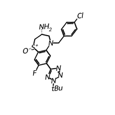 CC(C)(C)n1nnc(-c2cc3c(cc2F)[S+]([O-])C[C@H](N)CN3Cc2ccc(Cl)cc2)n1